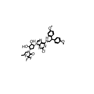 CCCN(C(=O)C(F)(F)F)[C@H]1C[C@@H](n2cnc3c(NCC(c4ccc(OC)cc4)c4ccc(OC)cc4)nc(Cl)nc32)[C@H](O)[C@@H]1O